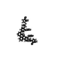 COc1nc(-c2cccc(-c3cccc(-c4cnc(CN[C@H]5CCNC5=O)c(OC)n4)c3Cl)c2Cl)cnc1CNC[C@@H]1CCC(=O)N1